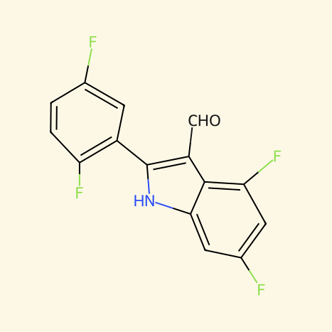 O=Cc1c(-c2cc(F)ccc2F)[nH]c2cc(F)cc(F)c12